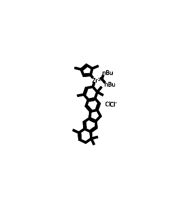 CCCC[C](CCCC)=[Zr+2]([C]1=CC(C)=CC1C)[CH]1C=C(C)c2cc3c(cc2C1(C)C)Cc1cc2c(cc1-3)C(C)=CCC2(C)C.[Cl-].[Cl-]